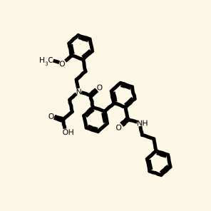 COc1ccccc1CCN(CCC(=O)O)C(=O)c1ccccc1-c1ccccc1C(=O)NCCc1ccccc1